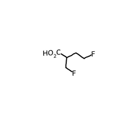 O=C(O)C(CF)CCF